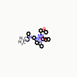 C=C/C=C\c1c(C)c2ccccc2n1-c1ccc2c(c1)c1ccc3c4ccccc4n(-c4cccc(-c5ccccc5)c4)c3c1n2-c1nc(-c2ccccc2)nc(-c2cccc3oc4ccccc4c23)n1